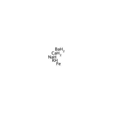 [BaH2].[CaH2].[Fe].[KH].[NaH]